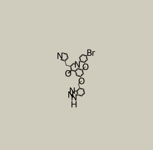 O=c1c(Cc2cccnc2)cn2c3c(cc(OCc4cccc5[nH]nnc45)cc13)Oc1cc(Br)ccc1-2